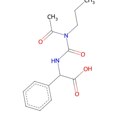 CCCN(C(C)=O)C(=O)NC(C(=O)O)c1ccccc1